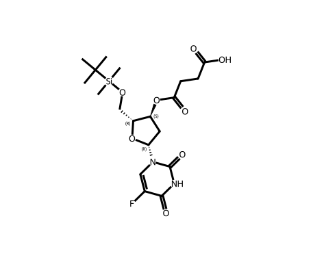 CC(C)(C)[Si](C)(C)OC[C@H]1O[C@@H](n2cc(F)c(=O)[nH]c2=O)C[C@@H]1OC(=O)CCC(=O)O